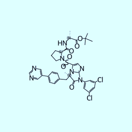 C[C@@H](NC(=O)[C@@H]1CCCN1S(=O)(=O)c1cnc2n1[C@](C)(Cc1ccc(-c3cncnc3)cc1)C(=O)N2c1cc(Cl)cc(Cl)c1)C(=O)OC(C)(C)C